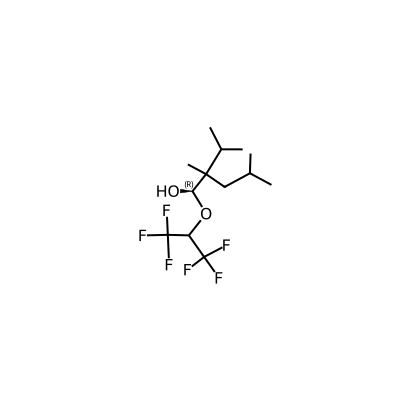 CC(C)CC(C)(C(C)C)[C@H](O)OC(C(F)(F)F)C(F)(F)F